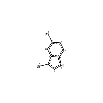 CCc1ccc2[nH]cc(Br)c2c1